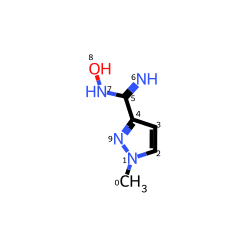 Cn1ccc(C(=N)NO)n1